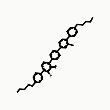 CCCCCc1ccc(-c2ccc(-c3ccc(-c4ccc(-c5ccc(CCCCC)cc5)c(F)c4F)cc3)cc2C)cc1